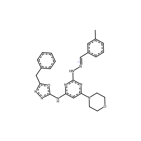 Cc1cccc(/C=N/Nc2nc(Nc3nnc(Cc4ccccc4)o3)cc(N3CCOCC3)n2)c1